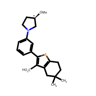 CO[C@@H]1CCN(c2cccc(-c3sc4c(c3C(=O)O)CC(C)(C)CC4)c2)C1